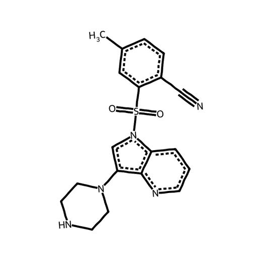 Cc1ccc(C#N)c(S(=O)(=O)n2cc(N3CCNCC3)c3ncccc32)c1